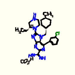 C=C[C@@H]1CNCCN1c1nc2nc(C(=N)NC(=O)O)nc(-c3cccc(Cl)c3)c2n1C[C@H]1CC[C@H](C)CC1